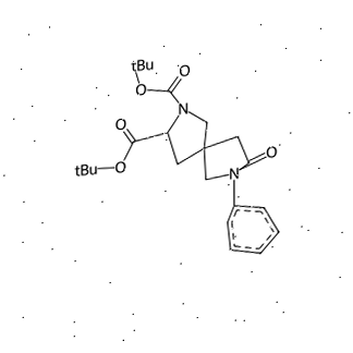 CC(C)(C)OC(=O)C1CC2(CC(=O)N(c3ccccc3)C2)CN1C(=O)OC(C)(C)C